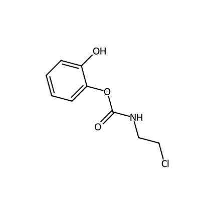 O=C(NCCCl)Oc1ccccc1O